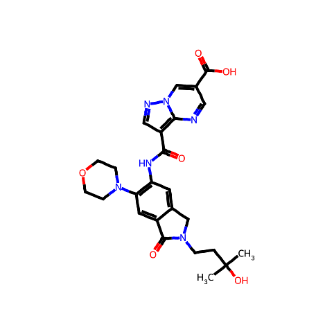 CC(C)(O)CCN1Cc2cc(NC(=O)c3cnn4cc(C(=O)O)cnc34)c(N3CCOCC3)cc2C1=O